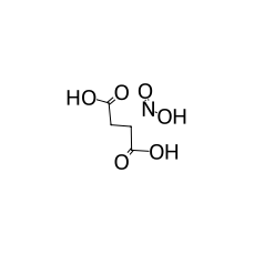 O=C(O)CCC(=O)O.O=NO